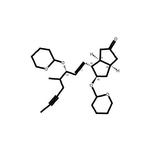 CC#CCC(C)[C@@H](/C=C/[C@@H]1[C@H]2CC(=O)C[C@H]2C[C@H]1OC1CCCCO1)OC1CCCCO1